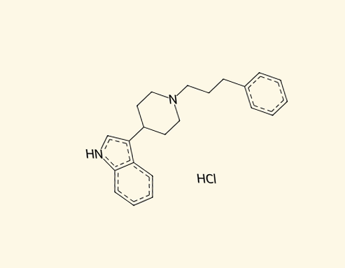 Cl.c1ccc(CCCN2CCC(c3c[nH]c4ccccc34)CC2)cc1